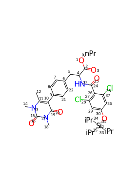 CCCOC(=O)C(Cc1ccc(-c2c(C)n(C)c(=O)n(C)c2=O)cc1)NC(=O)c1c(Cl)cc(O[Si](C(C)C)(C(C)C)C(C)C)cc1Cl